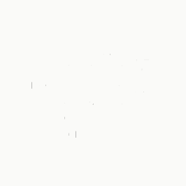 COC1=C(O)CCC(C2(C(C)=O)CC2)=C1